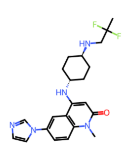 Cn1c(=O)cc(N[C@H]2CC[C@H](NCC(C)(F)F)CC2)c2cc(-n3ccnc3)ccc21